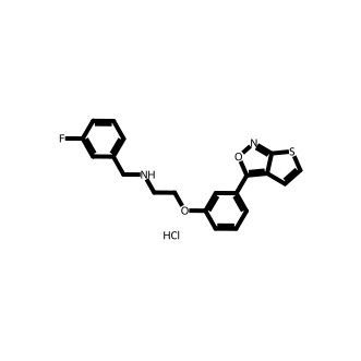 Cl.Fc1cccc(CNCCOc2cccc(-c3onc4sccc34)c2)c1